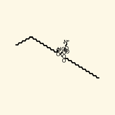 CCCCCCCC/C=C\CCCCCCCCCCCCCC(=O)O[C@H](COC(=O)CCCCCCCCCCCCCCCCCCC)COP(=O)(O)OCC[N+](C)(C)C